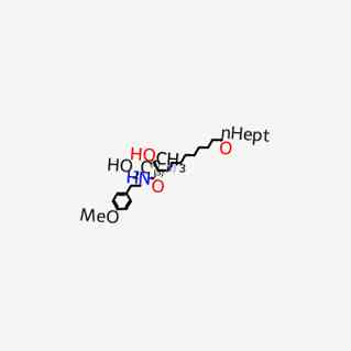 CCCCCCCC(=O)CCCCCC/C=C/[C@H](C(=O)NCCc1ccc(OC)cc1)[C@](C)(O)C(=O)O